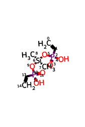 C=CP(=O)(O)O[Si](C)(C)OP(=O)(O)C=C